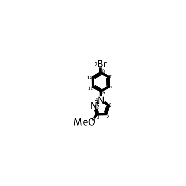 COc1ccn(-c2ccc(Br)cc2)n1